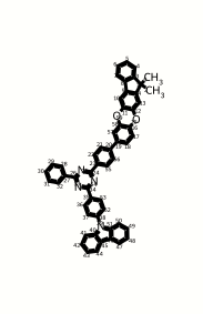 CC1(C)c2ccccc2-c2cc3c(cc21)Oc1ccc(-c2ccc(-c4nc(-c5ccccc5)nc(-c5ccc(-n6c7ccccc7c7ccccc76)cc5)n4)cc2)cc1O3